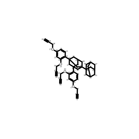 C#CCOc1ccc(C23CC4CC(c5ccc(OCC#C)cc5OCC#C)(C2)CC(C25CC6CC(CC(C6)C2)C5)(C4)C3)c(OCC#C)c1